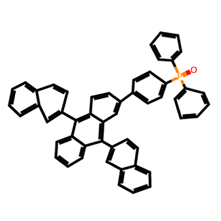 O=P(c1ccccc1)(c1ccccc1)c1ccc(-c2ccc3c(-c4ccc5ccccc5c4)c4ccccc4c(-c4ccc5ccccc5c4)c3c2)cc1